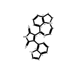 O=C1NC(=O)C(c2cccc3ccsc23)=C1C1=NC=CN2CCc3cccc1c32